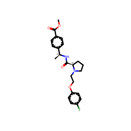 COC(=O)c1ccc([C@H](C)NC(=O)[C@H]2CCCN2CCOc2ccc(F)cc2)cc1